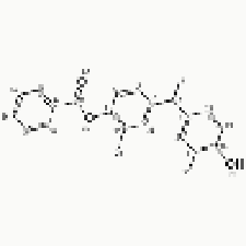 Cc1cc(C(C)c2ccc(OC(=O)c3ccccc3)c(C)c2)ccc1O